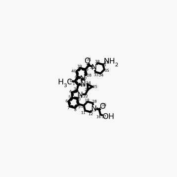 Cc1c(-c2cc3cccc(C4CCN(C(=O)CO)CC4)c3n2CC2CC2)nn2cc(C(=O)N3CCC[C@@H](N)C3)ccc12